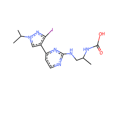 CC(CNc1nccc(-c2cn(C(C)C)nc2I)n1)NC(=O)O